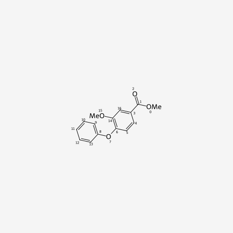 COC(=O)c1ccc(Oc2ccccc2)c(OC)c1